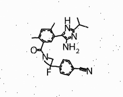 Cc1cc(C)c(-c2[nH]c(C(C)C)nc2N)cc1C(=O)N1CC(F)(c2ccc(C#N)cc2)C1